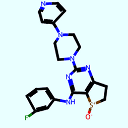 [O-][S+]1CCc2nc(N3CCN(c4ccncc4)CC3)nc(Nc3cccc(F)c3)c21